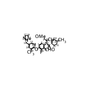 COC[C@H](C)N(c1ccc(Oc2ncc(Cn3nccn3)cc2C(F)(F)F)c(F)c1C=O)C(=O)[C@H]1CC[C@H](C)CC1